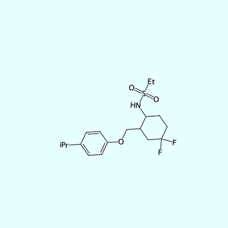 CCS(=O)(=O)NC1CCC(F)(F)CC1COc1ccc(C(C)C)cc1